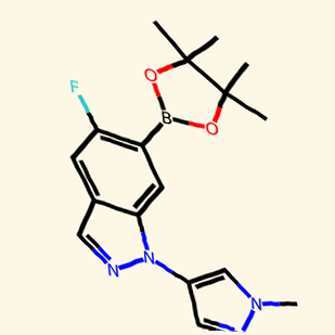 Cn1cc(-n2ncc3cc(F)c(B4OC(C)(C)C(C)(C)O4)cc32)cn1